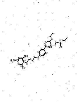 CCOC(=O)CC[C@@H](NC(=O)c1ccc(CCCCCc2c(N)nc(N)nc2O)cc1)C(=O)OCC